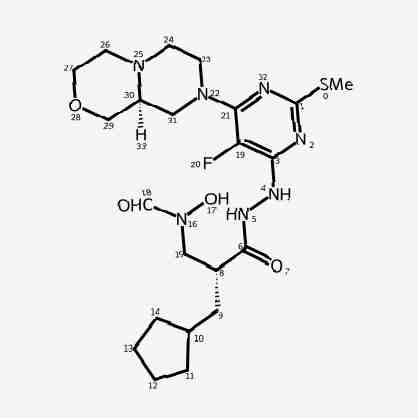 CSc1nc(NNC(=O)[C@H](CC2CCCC2)CN(O)C=O)c(F)c(N2CCN3CCOC[C@@H]3C2)n1